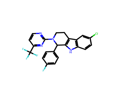 Fc1ccc(C2c3[nH]c4ccc(Cl)cc4c3CCN2c2nccc(C(F)(F)F)n2)cc1